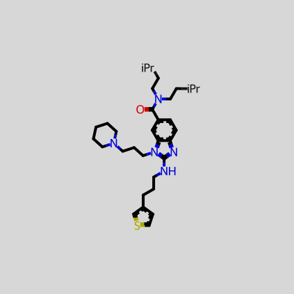 CC(C)CCN(CCC(C)C)C(=O)c1ccc2nc(NCCCc3ccsc3)n(CCCN3CCCCC3)c2c1